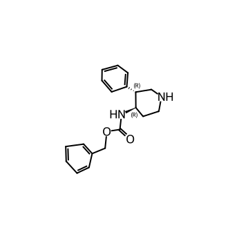 O=C(N[C@@H]1CCNC[C@H]1c1ccccc1)OCc1ccccc1